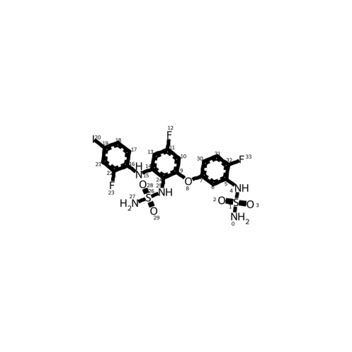 NS(=O)(=O)Nc1cc(Oc2cc(F)cc(Nc3ccc(I)cc3F)c2NS(N)(=O)=O)ccc1F